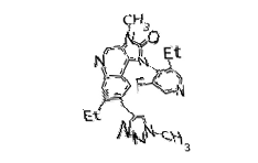 CCc1cc2ncc3c(c2cc1-c1cn(C)nn1)n(-c1c(F)cncc1CC)c(=O)n3C